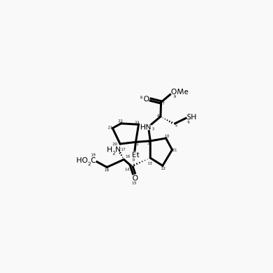 CCC1(C2(N[C@@H](CS)C(=O)OC)CCC[C@@H]2C(=O)[C@@H](N)CC(=O)O)CCCC1